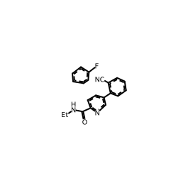 CCNC(=O)c1ccc(-c2ccccc2C#N)cn1.Fc1ccccc1